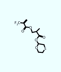 C=C(C(=O)OCC(C)C(=O)OC1CSCCO1)C(F)(F)F